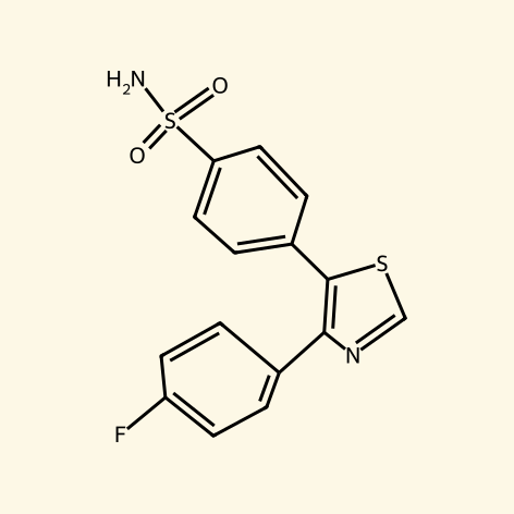 NS(=O)(=O)c1ccc(-c2scnc2-c2ccc(F)cc2)cc1